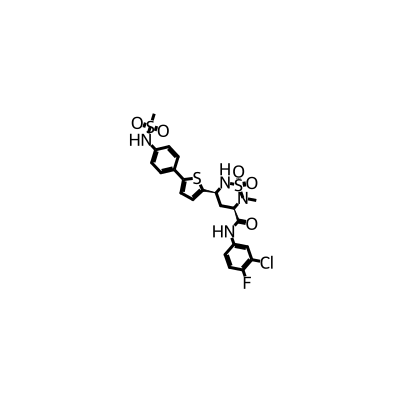 CN1[C@@H](C(=O)Nc2ccc(F)c(Cl)c2)C[C@@H](c2ccc(-c3ccc(NS(C)(=O)=O)cc3)s2)NS1(=O)=O